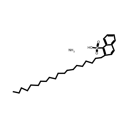 CCCCCCCCCCCCCCCCCCCCc1ccc2ccccc2c1S(=O)(=O)O.N